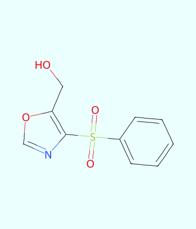 O=S(=O)(c1ccccc1)c1ncoc1CO